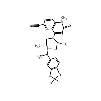 CC(c1ccc2c(c1)OC(F)(F)O2)N1C[C@H](C)N(c2nc(=O)n(C)c3ccc(C#N)nc23)C[C@H]1C